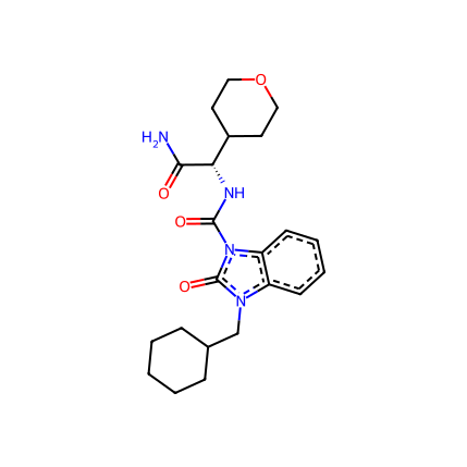 NC(=O)[C@@H](NC(=O)n1c(=O)n(CC2CCCCC2)c2ccccc21)C1CCOCC1